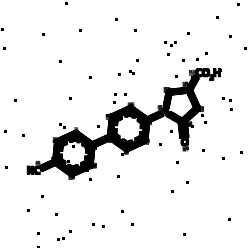 N#Cc1ccc(-c2ccc(N3CC(C(=O)O)CC3=O)cc2)cc1